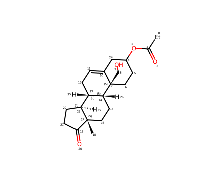 CCC(=O)OC1CC[C@@]2(CO)C(=CC[C@@H]3[C@H]2CC[C@]2(C)C(=O)CC[C@@H]32)C1